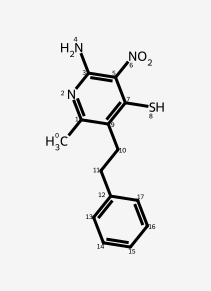 Cc1nc(N)c([N+](=O)[O-])c(S)c1CCc1ccccc1